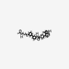 CC(=O)NCCCOc1cccc(-c2cccc(NC(=O)N3CC=C(c4ncnc5[nH]cc(C)c45)CC3)c2)c1